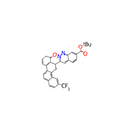 CC(C)(C)OC(=O)c1ccc2cc(C3Cc4c(ccc5ccc(C(F)(F)F)cc45)C4=C3C(=O)CC=C4)nnc2c1